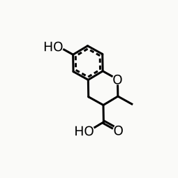 CC1Oc2ccc(O)cc2CC1C(=O)O